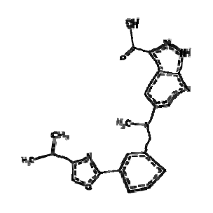 CC(C)c1coc(-c2cccc(CN(C)c3cnc4[nH]nc(C(=O)O)c4c3)c2)n1